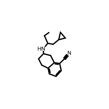 CCC(CC1CC1)NC1CCc2cccc(C#N)c2C1